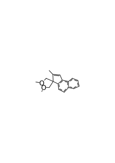 COCC1(COC)C(C)=Cc2c1ccc1ccccc21